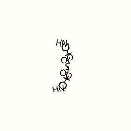 CC(C)(OC(=O)CSCC(=O)OC(C)(C)C1CCNCC1)C1CCNCC1